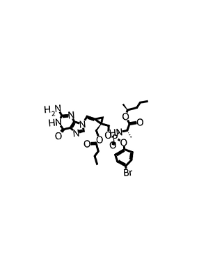 CCCC(=O)OC[C@]1(CO[P@@](=O)(N[C@@H](C)C(=O)O[C@@H](C)CCC)Oc2ccc(Br)cc2)C/C1=C/n1cnc2c(=O)[nH]c(N)nc21